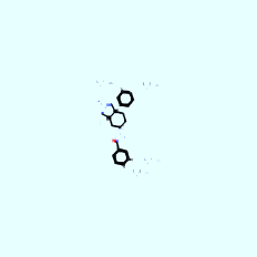 COc1ccc(C(=O)N[C@@H]2CC[C@@]3(c4ccc(OC)c(OC)c4)CN(C)C[C@H]3C2)cc1OC